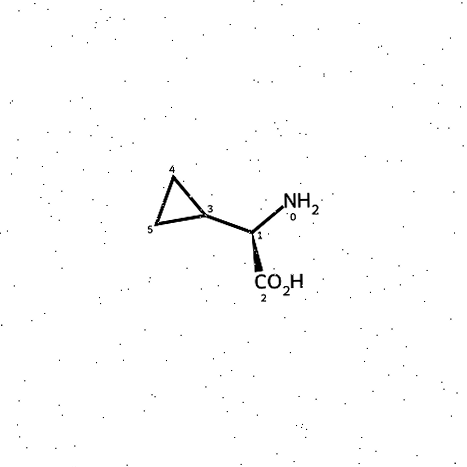 N[C@@H](C(=O)O)C1CC1